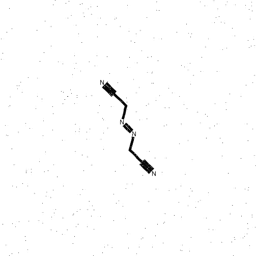 N#CCN=NCC#N